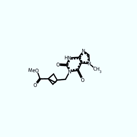 COC(=O)C12CC(Cn3c(=O)[nH]c4ncn(C)c4c3=O)(C1)C2